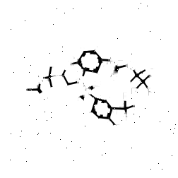 CC(=O)NC(C)(C)[C@@H]1CN(S(=O)(=O)c2ccc(F)c(C(F)(F)F)c2)c2cc(NC(=O)OC(C)(C)C(F)(F)F)ccc2O1